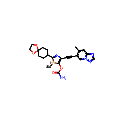 Cc1cc2ncnn2cc1C#CC1=C(OC(N)=O)[SH](C(C)(C)C)C(C2CCC3(CC2)OCCO3)=N1